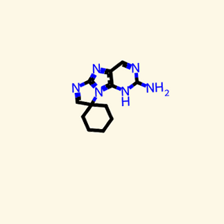 NC1N=Cc2nc3n(c2N1)C1(C=N3)CCCCC1